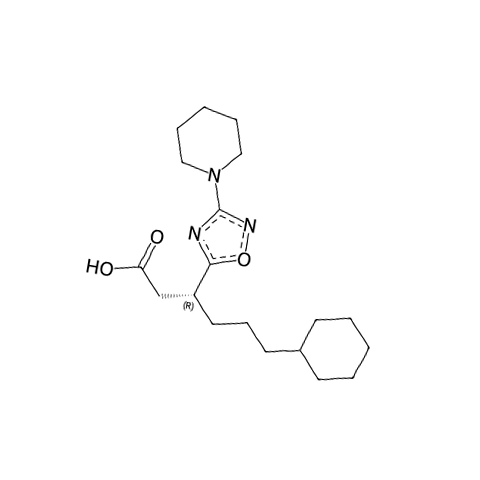 O=C(O)C[C@@H](CCCC1CCCCC1)c1nc(N2CCCCC2)no1